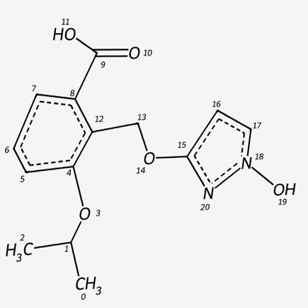 CC(C)Oc1cccc(C(=O)O)c1COc1ccn(O)n1